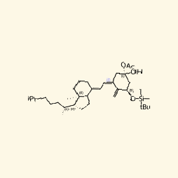 C=C1/C(=C\C=C2CCC[C@@]3(C)C2CC[C@@H]3[C@H](C)CCCC(C)C)C[C@](O)(OC(C)=O)C[C@H]1O[Si](C)(C)C(C)(C)C